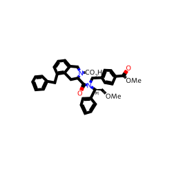 COC[C@@H](c1ccccc1)N(Cc1ccc(C(=O)OC)cc1)C(=O)C1Cc2c(Cc3ccccc3)cccc2CN1C(=O)O